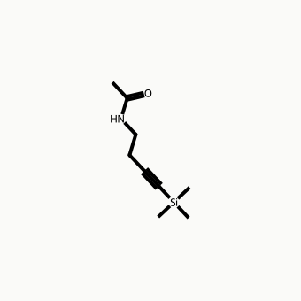 CC(=O)NCCC#C[Si](C)(C)C